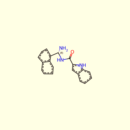 N[C@H](NC(=O)c1cc2ccccc2[nH]1)c1cccc2ccccc12